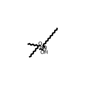 CCCCCCCCCCCCCC(=O)N(C(=O)C(CCCCCC)CCCCCCCC)C(C)C(=O)O